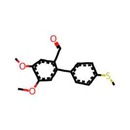 COc1cc(C=O)c(-c2ccc(SC)cc2)cc1OC